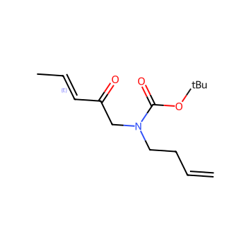 C=CCCN(CC(=O)/C=C/C)C(=O)OC(C)(C)C